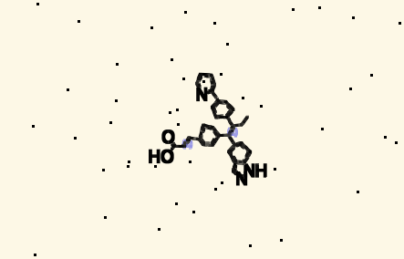 CC/C(=C(/c1ccc(/C=C/C(=O)O)cc1)c1ccc2[nH]ncc2c1)c1ccc(-c2ccccn2)cc1